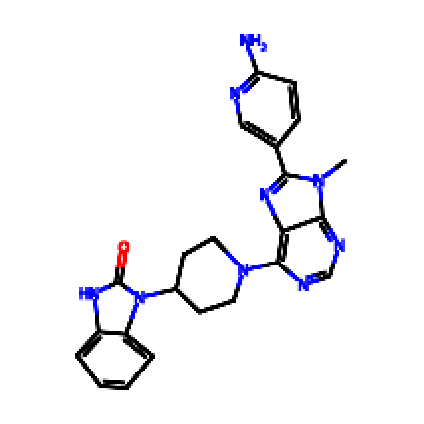 Cn1c(-c2ccc(N)nc2)nc2c(N3CCC(n4c(=O)[nH]c5ccccc54)CC3)ncnc21